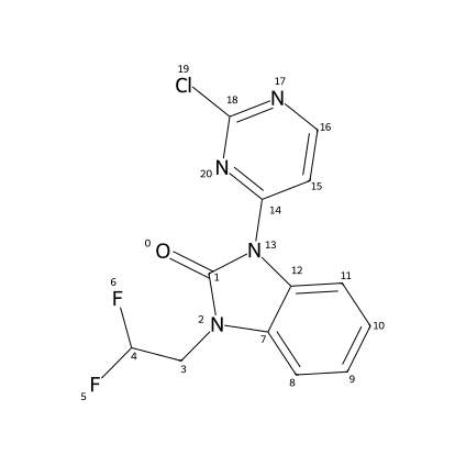 O=c1n(CC(F)F)c2ccccc2n1-c1ccnc(Cl)n1